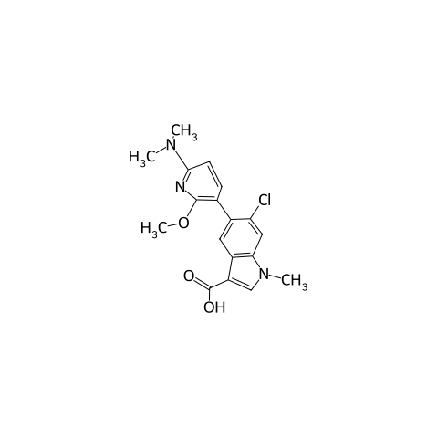 COc1nc(N(C)C)ccc1-c1cc2c(C(=O)O)cn(C)c2cc1Cl